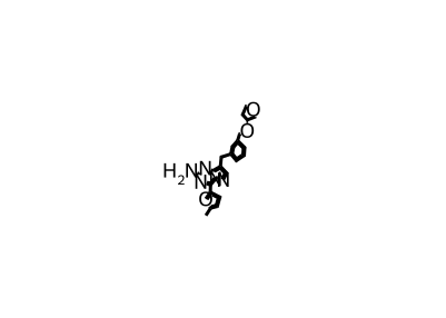 Cc1ccc(-c2nc(N)nc3c(Cc4cccc(CO[C@H]5CCOC5)c4)cnn23)o1